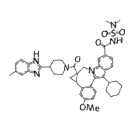 COc1ccc2c(c1)C1CC1(C(=O)N1CCC(c3nc4cc(C)ccc4[nH]3)CC1)Cn1c-2c(C2CCCCC2)c2ccc(C(=O)NS(=O)(=O)N(C)C)cc21